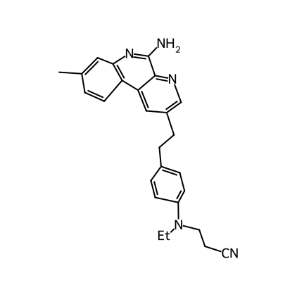 CCN(CCC#N)c1ccc(CCc2cnc3c(N)nc4cc(C)ccc4c3c2)cc1